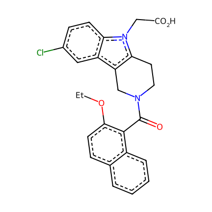 CCOc1ccc2ccccc2c1C(=O)N1CCc2c(c3cc(Cl)ccc3n2CC(=O)O)C1